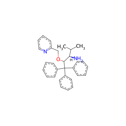 CC(C)[C@@H](N)C(OCc1ccccn1)C(c1ccccc1)(c1ccccc1)c1ccccc1